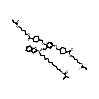 C=CC(=O)OCCCCOC(=O)C1CCC(COc2ccc(OCC3CCC(C(=O)OCCCCOC(=O)C=C)CC3)c(/C=N/N(CCCCCCCCCCOC(=O)C(=C)C)c3nc4ccccc4s3)c2)CC1